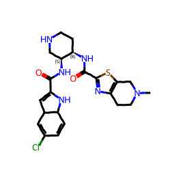 CN1CCc2nc(C(=O)N[C@@H]3CCNC[C@@H]3NC(=O)C3=CC4C=C(Cl)C=CC4N3)sc2C1